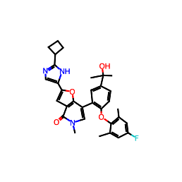 Cc1cc(F)cc(C)c1Oc1ccc(C(C)(C)O)cc1-c1cn(C)c(=O)c2cc(-c3cnc(C4CCC4)[nH]3)oc12